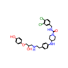 O=C(NCc1ccc(Cl)c(Cl)c1)N1CCC(Nc2ccc(CCNCC(O)COc3ccc(O)cc3)cc2)CC1